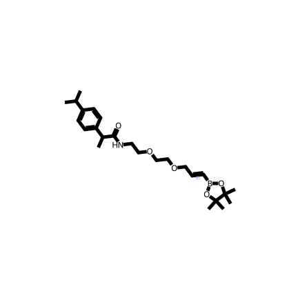 CC(C)c1ccc(C(C)C(=O)NCCOCCOC/C=C/B2OC(C)(C)C(C)(C)O2)cc1